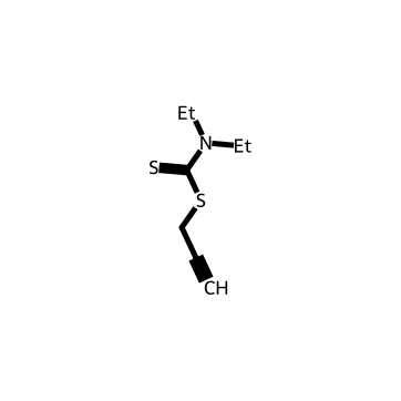 C#CCSC(=S)N(CC)CC